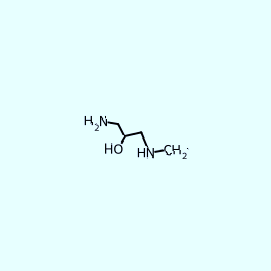 [CH2]NCC(O)CN